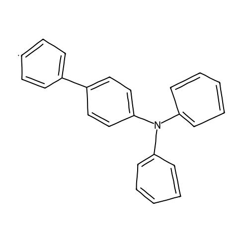 [c]1ccc(-c2ccc(N(c3ccccc3)c3ccccc3)cc2)cc1